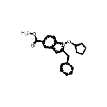 COC(=O)c1ccc2c(c1)cc(Cc1ccccc1)n2OC1CCCC1